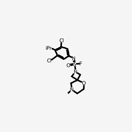 CC(C)c1c(Cl)cc(N=S(=O)(F)N2CC3(CN(C)CCO3)C2)cc1Cl